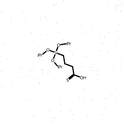 CC(C)O[Si](CCCC(O)=S)(OC(C)C)OC(C)C